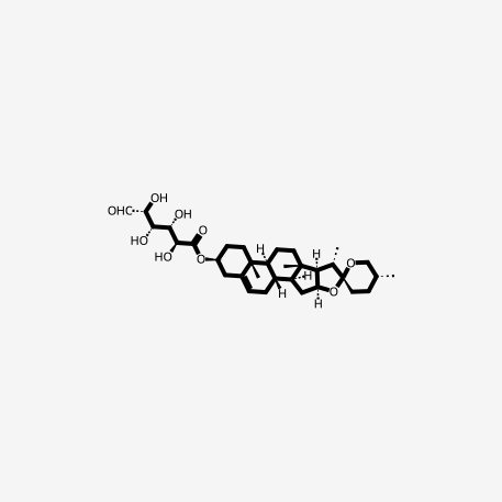 C[C@@H]1CC[C@@]2(OC1)O[C@H]1C[C@H]3[C@@H]4CC=C5C[C@@H](OC(=O)[C@@H](O)[C@@H](O)[C@H](O)[C@@H](O)C=O)CC[C@]5(C)[C@H]4CC[C@]3(C)[C@H]1[C@@H]2C